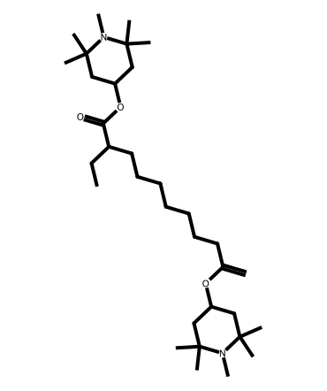 C=C(CCCCCCCC(CC)C(=O)OC1CC(C)(C)N(C)C(C)(C)C1)OC1CC(C)(C)N(C)C(C)(C)C1